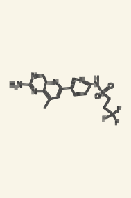 Cc1cc(-c2ccc(NS(=O)(=O)CCC(F)(F)F)nc2)nc2cnc(N)nc12